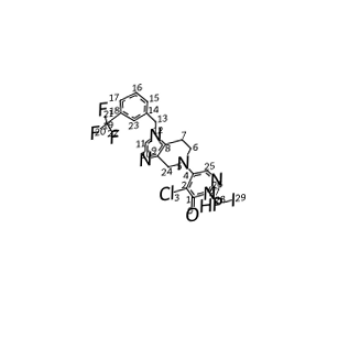 O=c1c(Cl)c(N2CCc3c(ncn3Cc3cccc(C(F)(F)F)c3)C2)cnn1PI